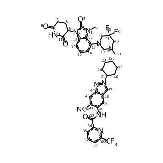 Cn1c(=O)n(C2CCC(=O)NC2=O)c2cccc(N3CN(C[C@H]4CC[C@H](n5cc6cc(NC(=O)c7cccc(C(F)(F)F)n7)c(C#N)cc6n5)CC4)CC(F)(F)C3)c21